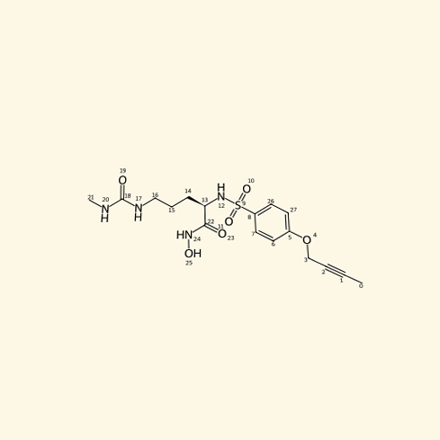 CC#CCOc1ccc(S(=O)(=O)N[C@H](CCCNC(=O)NC)C(=O)NO)cc1